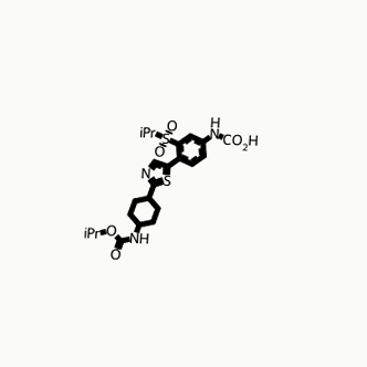 CC(C)OC(=O)NC1CCC(c2ncc(-c3ccc(NC(=O)O)cc3S(=O)(=O)C(C)C)s2)CC1